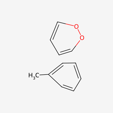 C1=COOC=C1.Cc1ccccc1